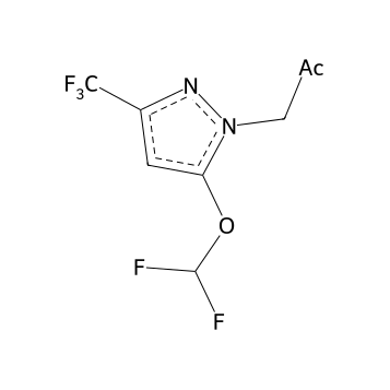 CC(=O)Cn1nc(C(F)(F)F)cc1OC(F)F